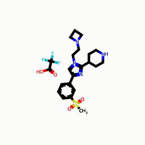 CS(=O)(=O)c1cccc(-c2cn(CCN3CCC3)c(C3CCNCC3)n2)c1.O=C(O)C(F)(F)F